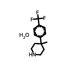 CC1(c2ccc(C(F)(F)F)cc2)CCNCC1.O